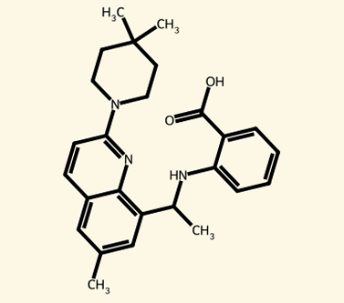 Cc1cc(C(C)Nc2ccccc2C(=O)O)c2nc(N3CCC(C)(C)CC3)ccc2c1